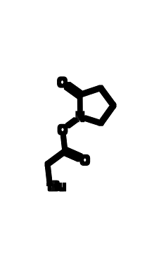 CC(C)(C)CC(=O)ON1CCCC1=O